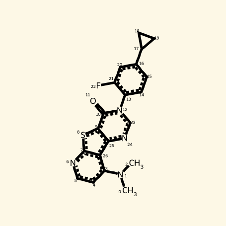 CN(C)c1ccnc2sc3c(=O)n(-c4ccc(C5CC5)cc4F)cnc3c12